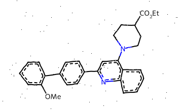 CCOC(=O)C1CCN(c2cc(-c3ccc(-c4ccccc4OC)cc3)nc3ccccc23)CC1